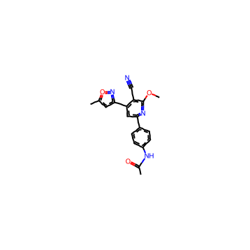 COc1nc(-c2ccc(NC(C)=O)cc2)cc(-c2cc(C)on2)c1C#N